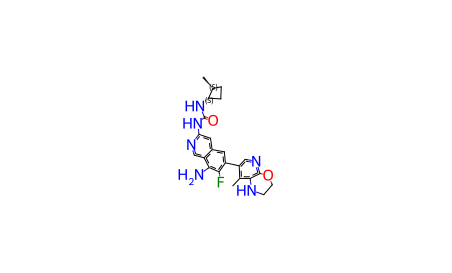 Cc1c(-c2cc3cc(NC(=O)N[C@H]4CC[C@@H]4C)ncc3c(N)c2F)cnc2c1NCCO2